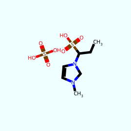 CCC(N1C=CN(C)C1)S(=O)(=O)O.O=S(=O)(O)O